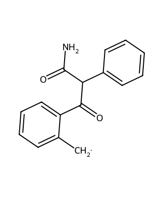 [CH2]c1ccccc1C(=O)C(C(N)=O)c1ccccc1